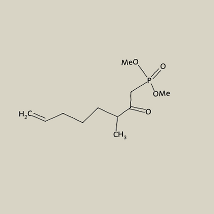 C=CCCCC(C)C(=O)CP(=O)(OC)OC